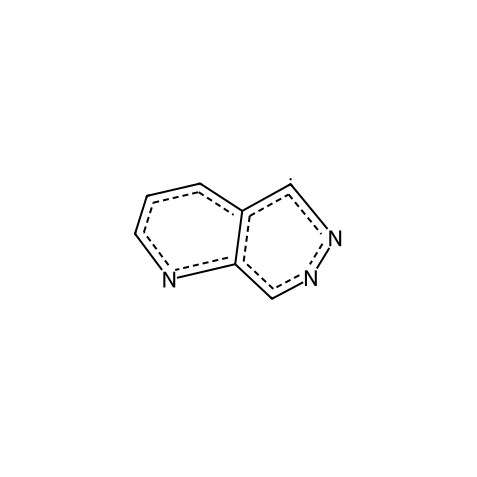 [c]1nncc2ncccc12